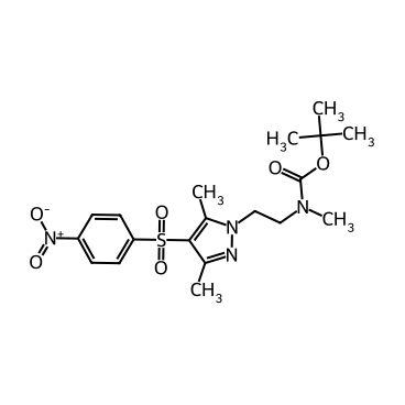 Cc1nn(CCN(C)C(=O)OC(C)(C)C)c(C)c1S(=O)(=O)c1ccc([N+](=O)[O-])cc1